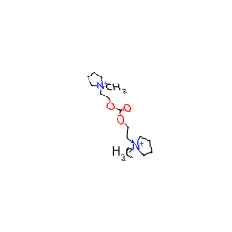 C[N+]1(CCOC(=O)OCC[N+]2(C)CCCC2)CCCC1